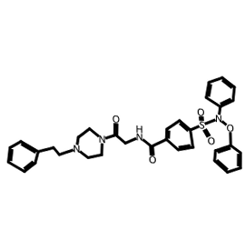 O=C(NCC(=O)N1CCN(CCc2ccccc2)CC1)c1ccc(S(=O)(=O)N(Oc2ccccc2)c2ccccc2)cc1